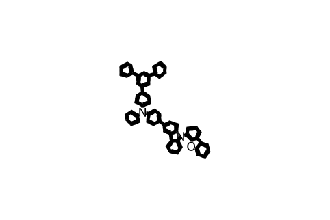 C1=CCCC(c2cc(-c3ccccc3)cc(-c3ccc(N(c4ccccc4)c4ccc(-c5ccc6c(c5)c5ccccc5n6-c5cccc6c5oc5ccccc56)cc4)cc3)c2)=C1